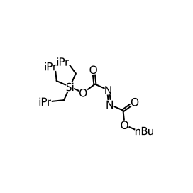 CCCCOC(=O)N=NC(=O)O[Si](CC(C)C)(CC(C)C)CC(C)C